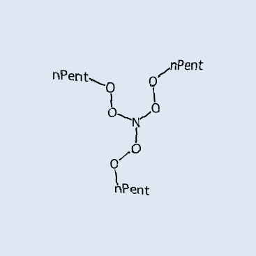 CCCCCOON(OOCCCCC)OOCCCCC